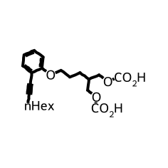 CCCCCCC#Cc1ccccc1OCCCC(COC(=O)O)COC(=O)O